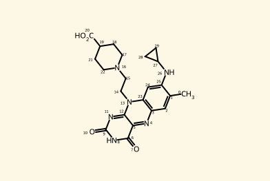 Cc1cc2nc3c(=O)[nH]c(=O)nc-3n(CCN3CCC(C(=O)O)CC3)c2cc1NC1CC1